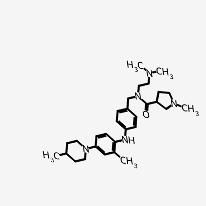 Cc1cc(N2CCC(C)CC2)ccc1Nc1ccc(CN(CCN(C)C)C(=O)C2CCN(C)C2)cc1